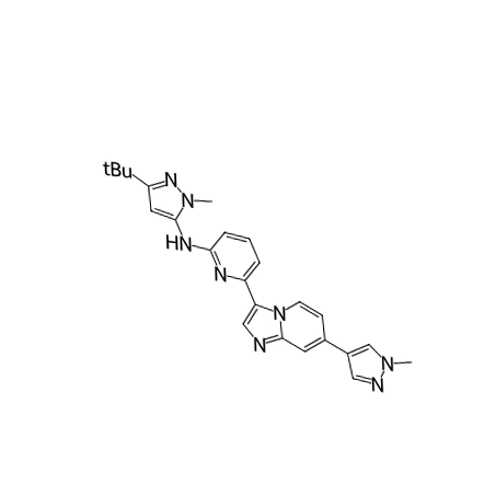 Cn1cc(-c2ccn3c(-c4cccc(Nc5cc(C(C)(C)C)nn5C)n4)cnc3c2)cn1